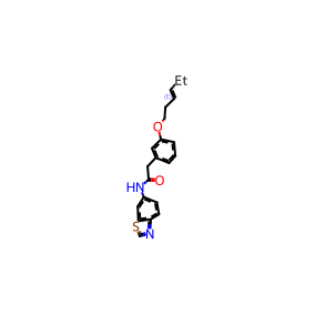 CC/C=C/CCOc1cccc(CC(=O)Nc2ccc3ncsc3c2)c1